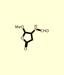 COC1OC(=O)CC1NC=O